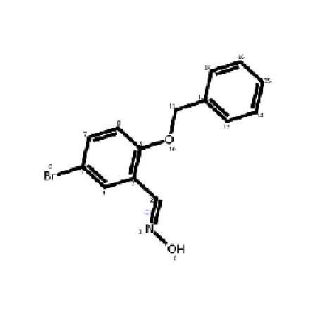 O/N=C/c1cc(Br)ccc1OCc1ccccc1